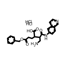 Cl.Cl.NCC(C(=O)Nc1ccc2cnccc2c1)C(CCC(=O)OCc1ccccc1)C(=O)O